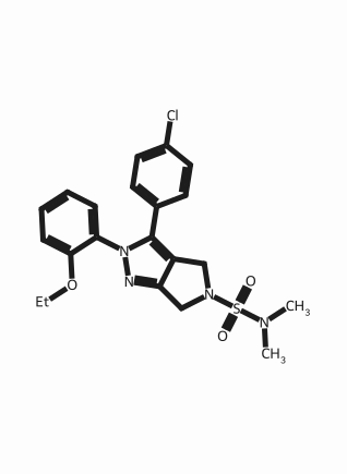 CCOc1ccccc1-n1nc2c(c1-c1ccc(Cl)cc1)CN(S(=O)(=O)N(C)C)C2